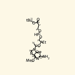 CCC(COPOCCC(=O)OC(C)(C)C)OC(C)n1cnc2c(OC)nc(N)nc21